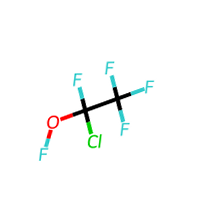 FOC(F)(Cl)C(F)(F)F